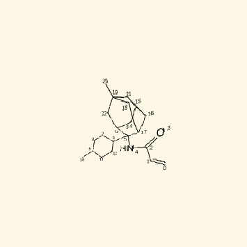 C=CC(=O)NC1(C2CCC(C)CC2)C2CC3CC1CC(C)(C3)C2